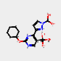 OC(O)n1ccc(-c2nc(OC3CCCCC3)ncc2C(O)(O)O)n1